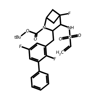 C=CS(=O)(=O)NC1C(Cc2cc(F)cc(-c3ccccc3)c2F)N(C(=O)OC(C)(C)C)C2CC1(F)C2